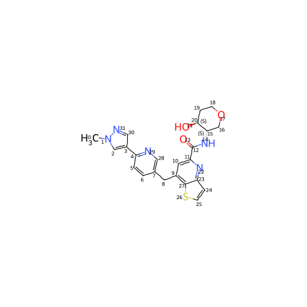 Cn1cc(-c2ccc(Cc3cc(C(=O)N[C@H]4COCC[C@@H]4O)nc4ccsc34)cn2)cn1